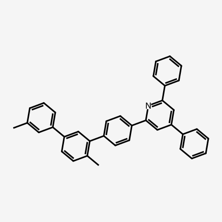 Cc1cccc(-c2ccc(C)c(-c3ccc(-c4cc(-c5ccccc5)cc(-c5ccccc5)n4)cc3)c2)c1